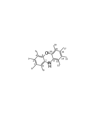 Cc1c(C)c(C)c2c(c1C)Nc1c(C)c(C)c(C)c(C)c1O2